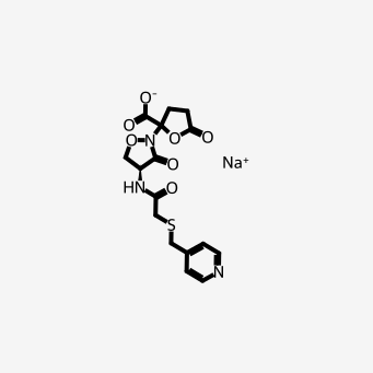 O=C(CSCc1ccncc1)N[C@H]1CON(C2(C(=O)[O-])CCC(=O)O2)C1=O.[Na+]